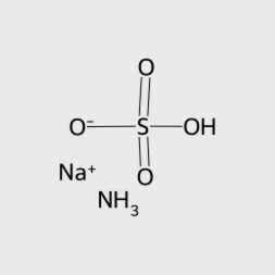 N.O=S(=O)([O-])O.[Na+]